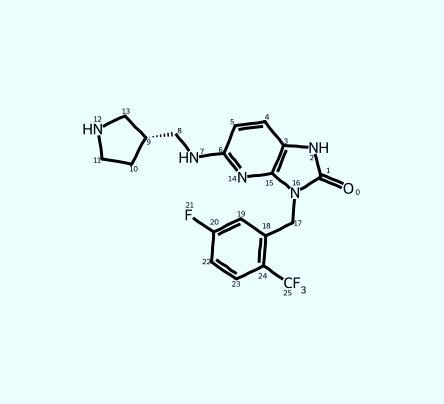 O=c1[nH]c2ccc(NC[C@@H]3CCNC3)nc2n1Cc1cc(F)ccc1C(F)(F)F